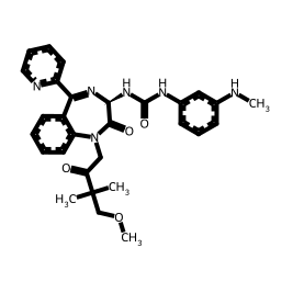 CNc1cccc(NC(=O)N[C@@H]2N=C(c3ccccn3)c3ccccc3N(CC(=O)C(C)(C)COC)C2=O)c1